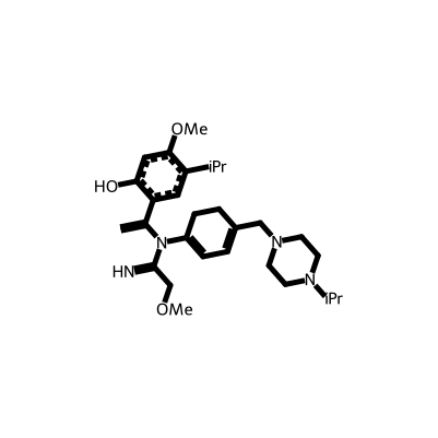 C=C(c1cc(C(C)C)c(OC)cc1O)N(C(=N)COC)C1=CC=C(CN2CCN(C(C)C)CC2)CC1